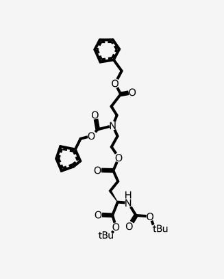 CC(C)(C)OC(=O)N[C@H](CCC(=O)OCCN(CCC(=O)OCc1ccccc1)C(=O)OCc1ccccc1)C(=O)OC(C)(C)C